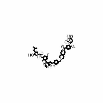 COc1ccc(C(=O)N2CCC3(CCN(Cc4ccc(-c5cc6c(-c7cc(F)cc(NC(=O)N8CC(O)C(CC(C)C)C8)c7C)ncnc6[nH]5)cc4)CC3)CC2)cc1N1CCC(=O)NC1=O